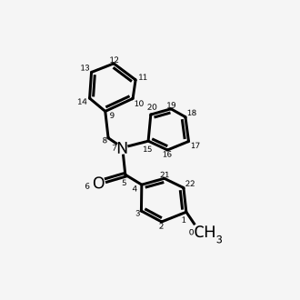 Cc1ccc(C(=O)N(Cc2ccccc2)c2ccccc2)cc1